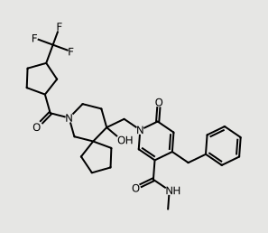 CNC(=O)c1cn(CC2(O)CCN(C(=O)C3CCC(C(F)(F)F)C3)CC23CCCC3)c(=O)cc1Cc1ccccc1